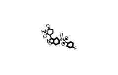 O=C1CCC(c2noc3ccc(NS(=O)(=O)c4ccc(F)cc4)cc23)C(=O)N1